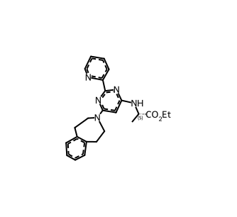 CCOC(=O)[C@H](C)Nc1cc(N2CCc3ccccc3CC2)nc(-c2ccccn2)n1